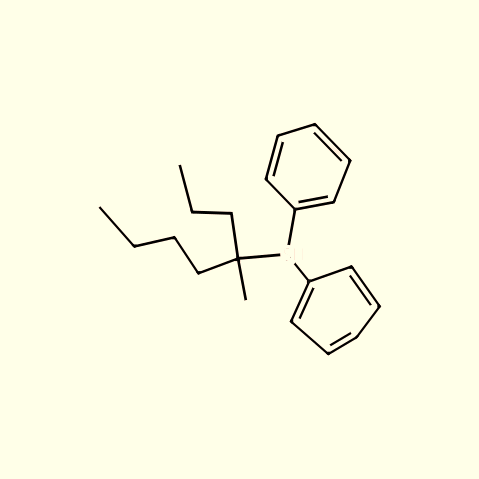 CCCCC(C)(CCC)[SH](c1ccccc1)c1ccccc1